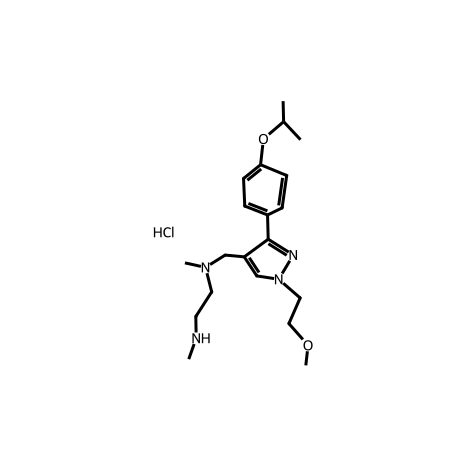 CNCCN(C)Cc1cn(CCOC)nc1-c1ccc(OC(C)C)cc1.Cl